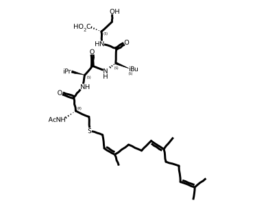 CC[C@H](C)[C@H](NC(=O)[C@@H](NC(=O)[C@H](CSCC=C(C)CCC=C(C)CCC=C(C)C)NC(C)=O)C(C)C)C(=O)N[C@@H](CO)C(=O)O